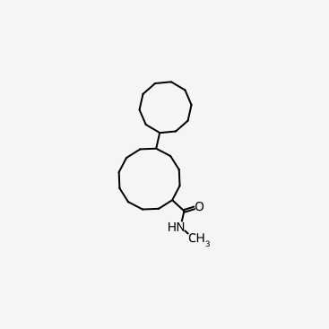 CNC(=O)C1CCCCCCCC(C2CCCCCCCCC2)CCC1